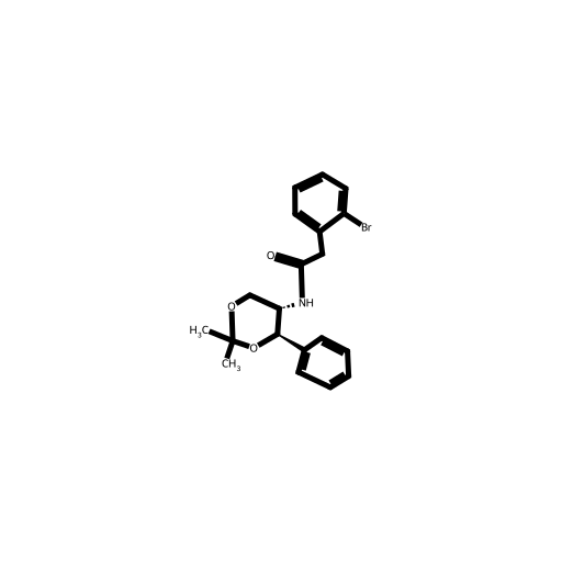 CC1(C)OC[C@H](NC(=O)Cc2ccccc2Br)[C@@H](c2ccccc2)O1